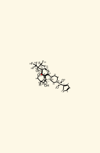 O=S(=O)(c1cccs1)N1CCN(c2ncc(C(O)(C(F)(F)F)C(F)(F)F)cn2)[C@@H](CN2[C@@H]3COC[C@H]2[C@@H](O)C3)C1